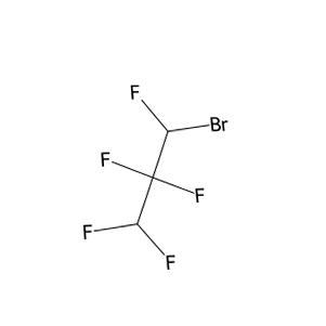 FC(F)C(F)(F)C(F)Br